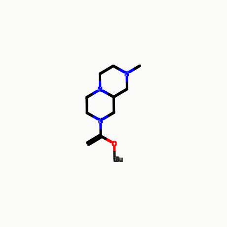 C=C(OC(C)(C)C)N1CCN2CCN(C)CC2C1